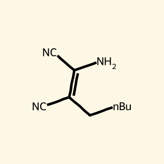 CCCCCC(C#N)=C(N)C#N